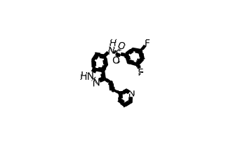 O=S(=O)(Nc1ccc2[nH]nc(C=Cc3cccnc3)c2c1)c1cc(F)cc(F)c1